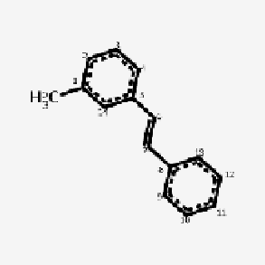 Cc1cccc(C=Cc2ccccc2)c1